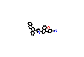 N#Cc1ccc2c(c1)Oc1cccc3c(-c4ccc(-c5cc6c7ccccc7ccc6c6ccccc56)cn4)ccc-2c13